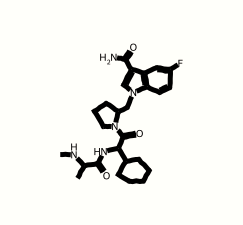 CNC(C)C(=O)NC(C(=O)N1CCCC1Cn1cc(C(N)=O)c2cc(F)ccc21)C1CCCCC1